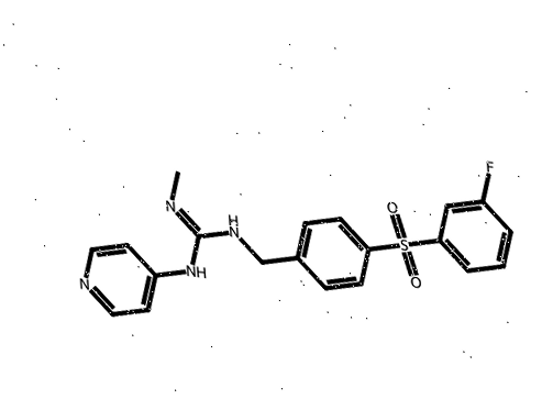 C/N=C(\NCc1ccc(S(=O)(=O)c2cccc(F)c2)cc1)Nc1ccncc1